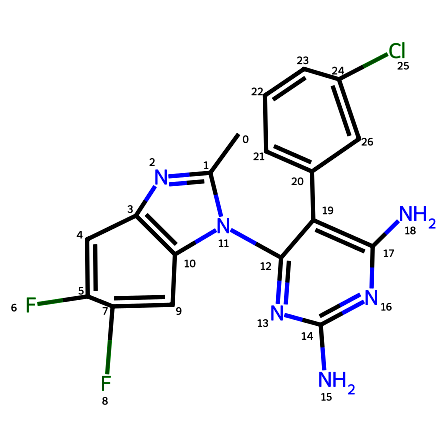 Cc1nc2cc(F)c(F)cc2n1-c1nc(N)nc(N)c1-c1cccc(Cl)c1